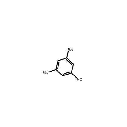 CC(C)(C)c1[c]c(C(C)(C)C)cc(N=O)c1